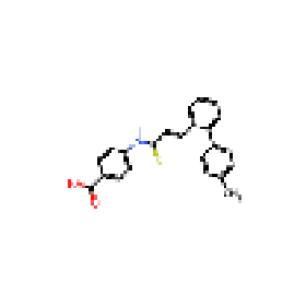 Cc1ccc(-c2ccccc2/C=C/C(=S)Nc2ccc(C(=O)O)cc2)cc1